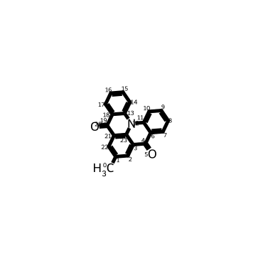 Cc1cc2c(=O)c3ccccc3n3c4ccccc4c(=O)c(c1)c23